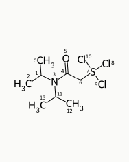 CC(C)N(C(=O)CS(Cl)(Cl)Cl)C(C)C